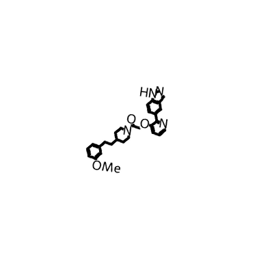 COc1cccc(CCC2CCN(C(=O)COc3cccnc3-c3ccc4[nH]ncc4c3)CC2)c1